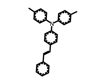 Cc1ccc(N(c2ccc(C)cc2)c2ccc(C=Cc3ccccc3)cc2)cc1